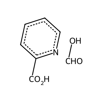 O=C(O)c1ccccn1.O=CO